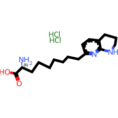 Cl.Cl.N[C@H](CCCCCCCc1ccc2c(n1)NCCC2)C(=O)O